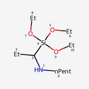 CCCCCNC(CC)[Si](OCC)(OCC)OCC